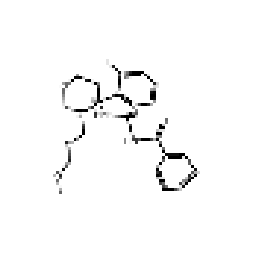 COCOC[C@H]1COCC[C@@]1(NC(=S)NC(=O)c1ccccc1)c1ccccc1F